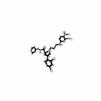 Nc1nc(NCCCn2cc(-c3ccc(Cl)cc3Cl)cc2C(=O)NCc2ccncc2)ccc1[N+](=O)[O-]